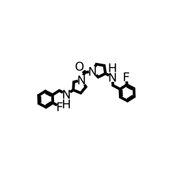 O=C(N1CCC(NCc2ccccc2F)C1)N1CCC(NCc2ccccc2F)C1